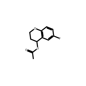 CC(=O)OC1CCOc2ccc(F)cc21